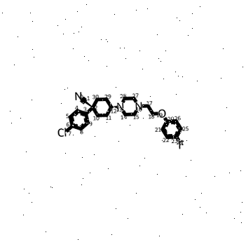 N#C[C@]1(c2ccc(Cl)cc2)CC[C@H](N2CCN(CCOc3ccc(F)cc3)CC2)CC1